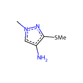 CSc1nn(C)cc1N